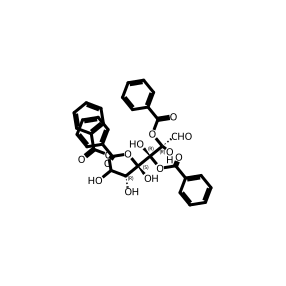 O=C[C@@](O)(OC(=O)c1ccccc1)[C@](O)(OC(=O)c1ccccc1)[C@@](O)(OC(=O)c1ccccc1)[C@H](O)C(O)OC(=O)c1ccccc1